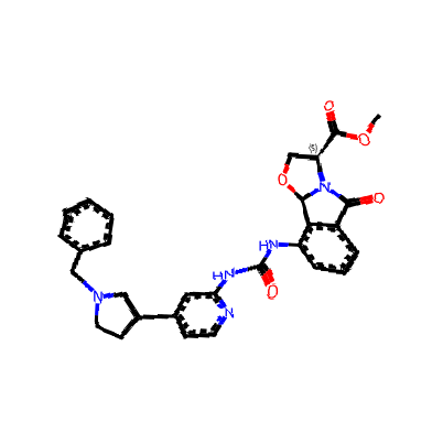 COC(=O)[C@@H]1COC2c3c(NC(=O)Nc4cc(C5CCN(Cc6ccccc6)C5)ccn4)cccc3C(=O)N21